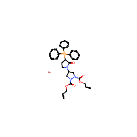 C=CCOC(=O)N1CC(N2CCC([P+](c3ccccc3)(c3ccccc3)c3ccccc3)C2=O)CN1C(=O)OCC=C.[Br-]